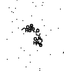 CCCOP(=O)(O)OC[C@H](CC(C)n1ccc(=O)[nH]c1=O)OC